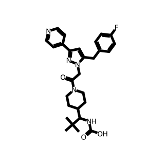 CC(C)(C)C(NC(=O)O)C1CCN(C(=O)Cn2nc(-c3ccncc3)cc2Cc2ccc(F)cc2)CC1